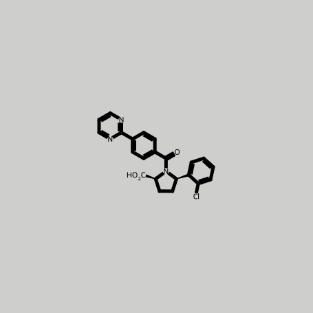 O=C(O)[C@@H]1CC[C@H](c2ccccc2Cl)N1C(=O)c1ccc(-c2ncccn2)cc1